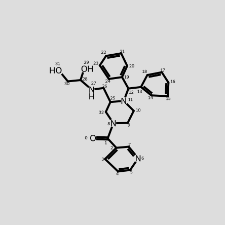 O=C(c1cccnc1)N1CCN(C(c2ccccc2)c2ccccc2)C(CNC(O)CO)C1